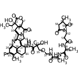 CC[C@@]1(O)C(=O)OCc2c1cc1n(c2=O)Cc2c-1nc1cc(F)c(C)c3c1c2[C@@H](NC(=O)C(C)(O)COCNC(=O)[C@H](C)NC(=O)[C@H](C)NC(=O)CCN1C(=O)CC(C)C1=O)CC3